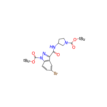 CC(C)(C)OC(=O)N1CCC(NC(=O)c2nn(C(=O)OC(C)(C)C)c3ccc(Br)cc23)C1